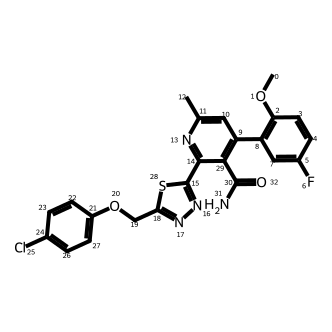 COc1ccc(F)cc1-c1cc(C)nc(-c2nnc(COc3ccc(Cl)cc3)s2)c1C(N)=O